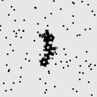 CC(=O)C1(C#N)CCCN1NC1CCN(C(=O)NCc2ccccc2)CC1.Cl